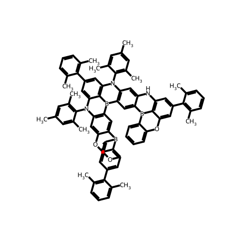 Cc1cc(C)c(N2c3cc4c(cc3B3c5cc6c(cc5N(c5c(C)cc(C)cc5C)c5cc(-c7c(C)cccc7C)cc2c53)Oc2cc(-c3c(C)cccc3C)cc3c2B6c2ccccc2O3)B2c3ccccc3Oc3cc(-c5c(C)cccc5C)cc(c32)N4)c(C)c1